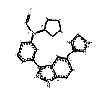 O=CN(c1cccc(-c2n[nH]c3ccc(-c4nc[nH]n4)cc23)c1)C1CCCC1